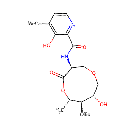 COc1ccnc(C(=O)N[C@H]2COC[C@H](O)[C@@H](OCC(C)C)[C@H](C)OC2=O)c1O